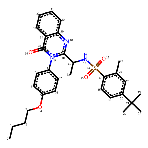 CCCCOc1ccc(-n2c(C(C)NS(=O)(=O)c3ccc(C(C)(C)C)cc3C)nc3ccccc3c2=O)cc1